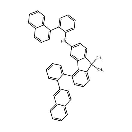 CC1(C)c2ccc(Nc3ccccc3-c3cccc4ccccc34)cc2-c2c(-c3ccccc3-c3ccc4ccccc4c3)cccc21